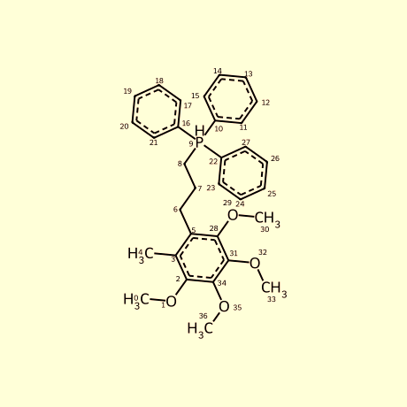 COc1c(C)c(CCC[PH](c2ccccc2)(c2ccccc2)c2ccccc2)c(OC)c(OC)c1OC